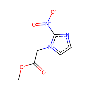 COC(=O)Cn1ccnc1[N+](=O)[O-]